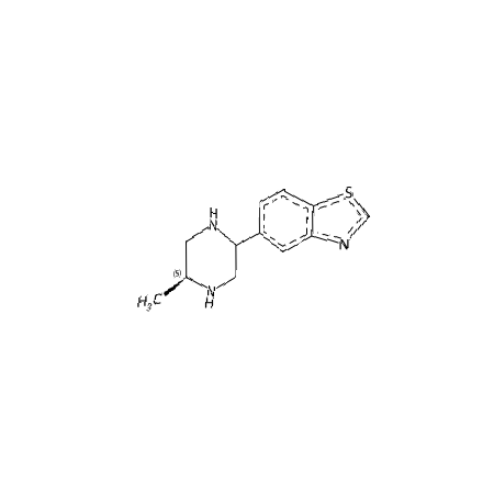 C[C@H]1CNC(c2ccc3scnc3c2)CN1